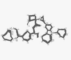 C=C/C(=C\C(=C)[C@@]1(N2CC2c2ccc3c(c2)c2ccccc2n3-c2ccccc2)C=C[C@@H]1C)c1cccc(/C(=C/N)N[C@@H]2C=CC=CC2)c1